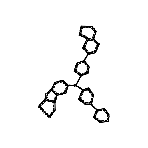 c1ccc(-c2ccc(N(c3ccc(-c4ccc5ccccc5c4)cc3)c3ccc4oc5cnccc5c4c3)cc2)cc1